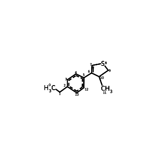 CCc1ccc(C2=CSCC2C)cc1